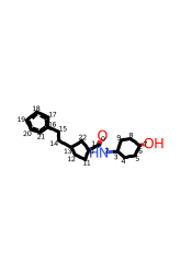 O=C(NC1CCC(O)CC1)C1CCC(CCc2ccccc2)C1